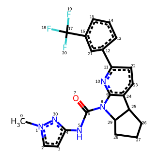 Cn1ccc(NC(=O)N2c3nc(-c4cccc(C(F)(F)F)c4)ccc3C3CCCC32)n1